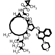 CC[C@@H]1C[C@@H](C)CC/C=C\[C@@H]2C[C@@]2(C(=O)NS(=O)(=O)C2(C)CC2)NC(=O)[C@@H]2C[C@@H](Oc3ncc(N4CCOCC4)c4ccccc34)CN2C(=O)[C@H]1NC(=O)OC(C)(C)C